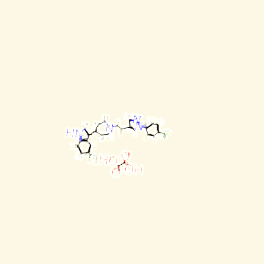 Fc1ccc(-n2cc(CCN3CCC(c4c[nH]c5ccc(Cl)cc45)CC3)cn2)cc1.O=C(O)C(=O)O